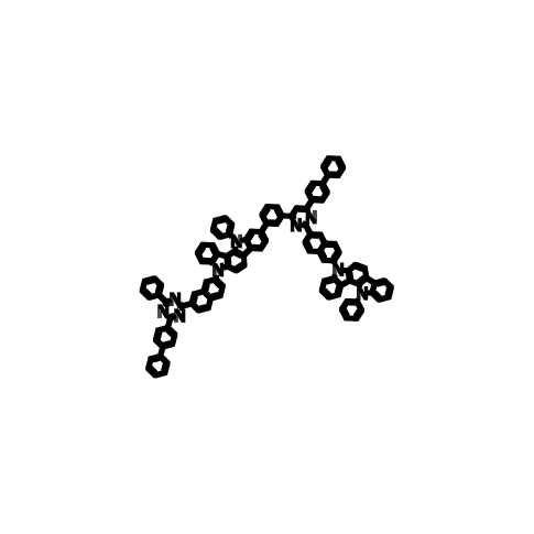 c1ccc(-c2ccc(-c3cc(-c4cccc(-c5ccc6c7ccc8c(c9ccccc9n8-c8ccc9ccc(-c%10nc(-c%11ccccc%11)nc(-c%11ccc(-c%12ccccc%12)cc%11)n%10)cc9c8)c7n(-c7ccccc7)c6c5)c4)nc(-c4ccc5cc(-n6c7ccccc7c7c6ccc6c8ccccc8n(-c8ccccc8)c67)ccc5c4)n3)cc2)cc1